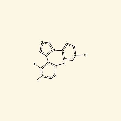 Cc1ccc(F)c(-c2cncn2-c2ccc(Cl)cc2)c1F